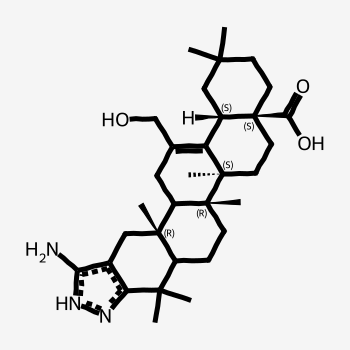 CC1(C)CC[C@]2(C(=O)O)CC[C@]3(C)C(=C(CO)CC4[C@@]5(C)Cc6c(n[nH]c6N)C(C)(C)C5CC[C@]43C)[C@@H]2C1